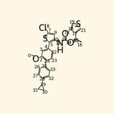 COc1cc(-c2sc(Cl)cc2NC(=O)O[C@H](C)c2ccsc2)ccc1-c1ccc(C2CC2)cc1